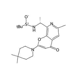 Cc1cc2c(=O)cc(N3CCC(C)(C)CC3)oc2c([C@@H](C)N[S+]([O-])C(C)(C)C)n1